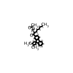 CCCCCC/C(=N\OC(C)=O)C(=O)c1ccc2c(c1)C(CCC)(CCC)c1ccccc1-2